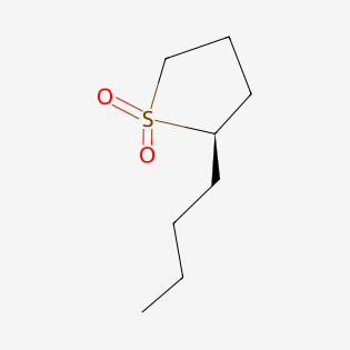 CCCC[C@@H]1CCCS1(=O)=O